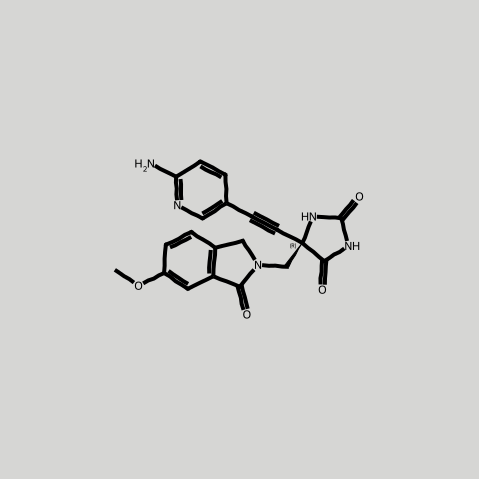 COc1ccc2c(c1)C(=O)N(C[C@@]1(C#Cc3ccc(N)nc3)NC(=O)NC1=O)C2